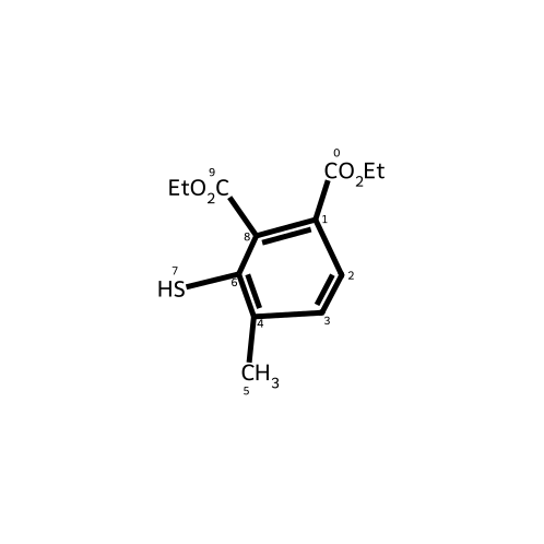 CCOC(=O)c1ccc(C)c(S)c1C(=O)OCC